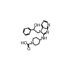 O=C(O)N1CCC(Nc2nc3ncccc3n2CC(O)c2ccccc2)CC1